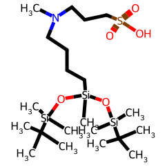 CN(CCCC[Si](C)(O[Si](C)(C)C(C)(C)C)O[Si](C)(C)C(C)(C)C)CCCS(=O)(=O)O